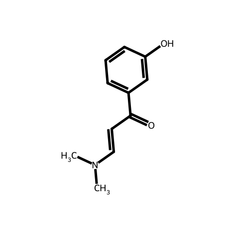 CN(C)C=CC(=O)c1cccc(O)c1